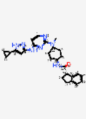 CN(c1nccc(Nc2cc(C3CC3)[nH]n2)n1)C1CCC(NC(=O)[C@H]2CCc3ccccc32)CC1